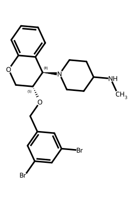 CNC1CCN([C@@H]2c3ccccc3OC[C@H]2OCc2cc(Br)cc(Br)c2)CC1